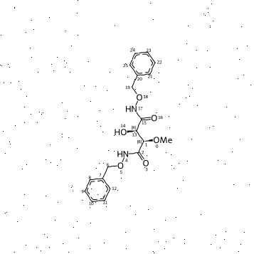 CO[C@@H](C(=O)NOCc1ccccc1)[C@@H](O)C(=O)NOCc1ccccc1